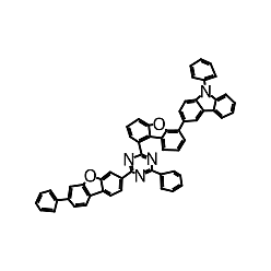 c1ccc(-c2ccc3c(c2)oc2cc(-c4nc(-c5ccccc5)nc(-c5cccc6oc7c(-c8ccc9c(c8)c8ccccc8n9-c8ccccc8)cccc7c56)n4)ccc23)cc1